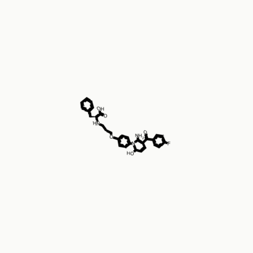 NC1=C(C(=O)c2ccc(F)cc2)C=CC(O)N1c1ccc(OCCCN[C@@H](Cc2ccccc2)C(=O)O)cc1